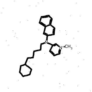 C[n+]1cccc(N(CCCCCC2CCCCC2)c2ccc3ccccc3c2)c1